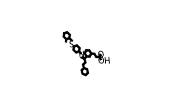 CC1CCCCC1CSC1CCC(N2C=C(CCC3CCCCC3)C3CC(CCC(=O)O)CCC32)CC1